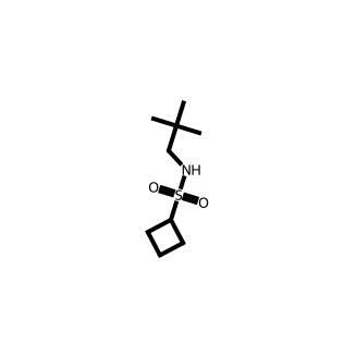 CC(C)(C)CNS(=O)(=O)C1CCC1